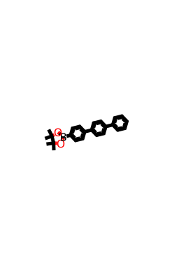 CC1(C)OB(c2ccc(-c3ccc(-c4ccccc4)cc3)cc2)OC1(C)C